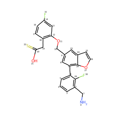 NCc1cccc(-c2cc(COc3cc(F)ccc3CC(O)=S)cc3ccoc23)c1F